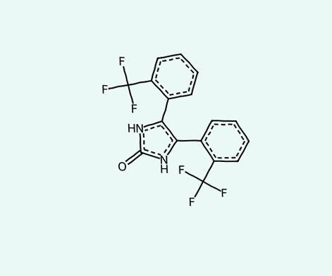 O=c1[nH]c(-c2ccccc2C(F)(F)F)c(-c2ccccc2C(F)(F)F)[nH]1